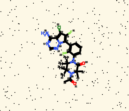 [2H]C1([2H])N(c2cccc(-c3c(F)c(Cl)c4c(N)ncnn34)c2F)C(=O)C(C)(C)N(C(C)=O)C1([2H])[2H]